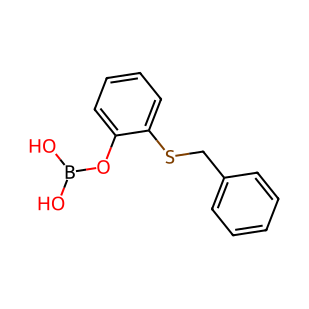 OB(O)Oc1ccccc1SCc1ccccc1